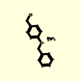 ClCc1ccc(OCc2ccccc2)cc1.[MgH2]